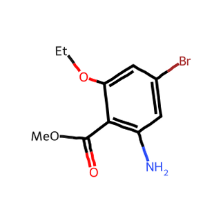 CCOc1cc(Br)cc(N)c1C(=O)OC